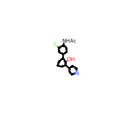 CC(=O)Nc1ccc(-c2cccc(-c3ccncc3)c2O)cc1F